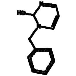 OC1N=CC=CN1Cc1ccccc1